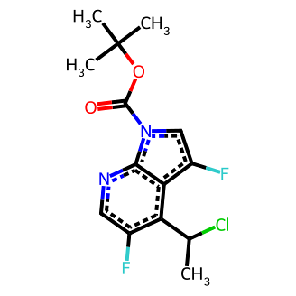 CC(Cl)c1c(F)cnc2c1c(F)cn2C(=O)OC(C)(C)C